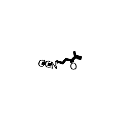 C=C(C)C(=O)CCCN=C=O